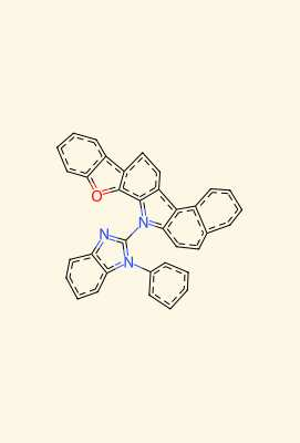 c1ccc(-n2c(-n3c4ccc5ccccc5c4c4ccc5c6ccccc6oc5c43)nc3ccccc32)cc1